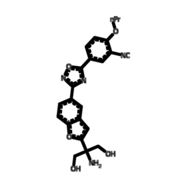 [C-]#[N+]c1cc(-c2nc(-c3ccc4oc(C(N)(CO)CO)cc4c3)no2)ccc1OCCC